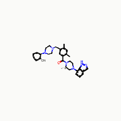 Cc1cc(C)c(C(=O)N2CCN(c3cccc4cn[nH]c34)C[C@@H]2C)cc1CN1CCN(c2ccccc2C#N)CC1